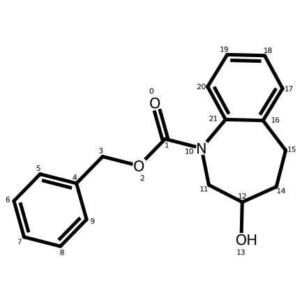 O=C(OCc1ccccc1)N1CC(O)CCc2ccccc21